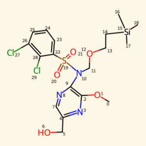 COc1nc(CO)cnc1N(COCC[Si](C)(C)C)S(=O)(=O)c1cccc(Cl)c1Cl